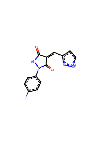 O=C1NN(c2ccc(I)cc2)C(=O)C1=Cc1cc[nH]n1